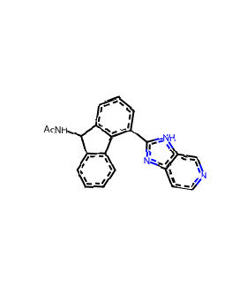 CC(=O)NC1c2ccccc2-c2c(-c3nc4ccncc4[nH]3)cccc21